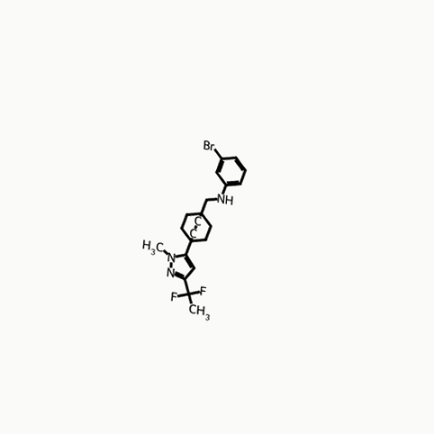 Cn1nc(C(C)(F)F)cc1C12CCC(CNc3cccc(Br)c3)(CC1)CC2